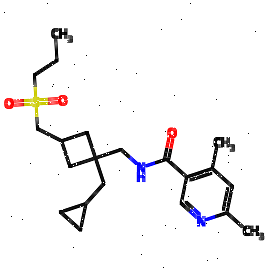 CCCS(=O)(=O)CC1CC(CNC(=O)c2cnc(C)cc2C)(CC2CC2)C1